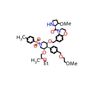 CCO[C@H](C)CO[C@@H]1CN(S(=O)(=O)c2ccc(C)cc2)C[C@H](OCc2ccc3c(c2)N(C(=O)[C@H]2NCCC2OC)CCO3)[C@H]1c1ccc(COCCOC)cc1